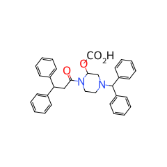 O=C(O)OC1CN(C(c2ccccc2)c2ccccc2)CCN1C(=O)CC(c1ccccc1)c1ccccc1